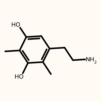 Cc1c(O)cc(CCN)c(C)c1O